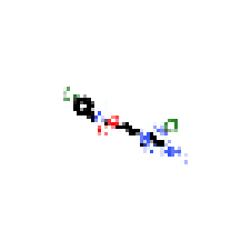 Nc1nc(Cl)nc2c1ncn2CCCCOC(=O)NCc1ccc(Cl)cc1